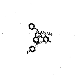 CSc1cc(C)nc(SC)c1NC(=O)N(Cc1ccccc1)Cc1ccc(Oc2ccc(F)cc2)cc1